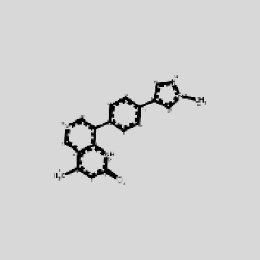 Cc1cc(=O)[nH]c2c(-c3ccc(-c4cnn(C)c4)cc3)cncc12